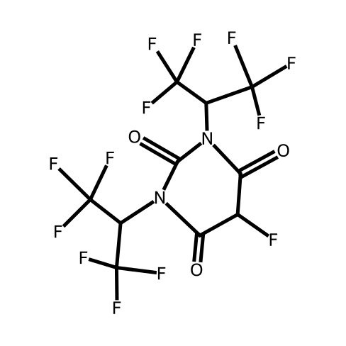 O=C1C(F)C(=O)N(C(C(F)(F)F)C(F)(F)F)C(=O)N1C(C(F)(F)F)C(F)(F)F